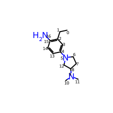 CCc1cc(N2CCC(N(C)C)C2)ccc1N